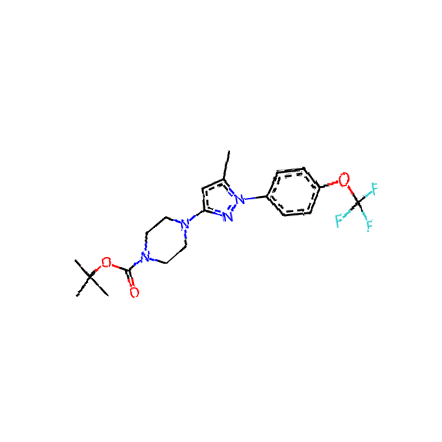 Cc1cc(N2CCN(C(=O)OC(C)(C)C)CC2)nn1-c1ccc(OC(F)(F)F)cc1